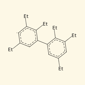 CCc1[c]c(CC)c(CC)c(-c2cc(CC)cc(CC)c2CC)c1